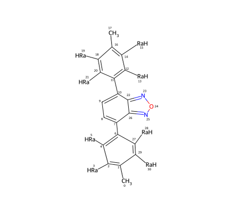 Cc1[c]([RaH])[c]([RaH])c(-c2ccc(-c3[c]([RaH])[c]([RaH])c(C)[c]([RaH])[c]3[RaH])c3nonc23)[c]([RaH])[c]1[RaH]